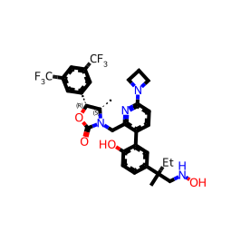 CCC(C)(CNO)c1ccc(O)c(-c2ccc(N3CCC3)nc2CN2C(=O)O[C@H](c3cc(C(F)(F)F)cc(C(F)(F)F)c3)[C@@H]2C)c1